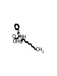 CCCCCC/C=C/CC(=O)N[C@H](CSc1ccccc1)CC(=O)O